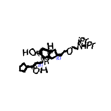 CC(C)N(CCOC/C=C1\C[C@H]2C[C@@H](O)[C@H](/C=C/[C@@H](O)C3CCCC3)[C@H]2C1)C(C)C